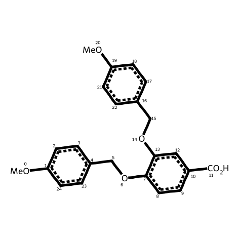 COc1ccc(COc2ccc(C(=O)O)cc2OCc2ccc(OC)cc2)cc1